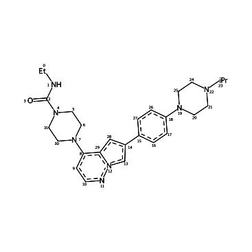 CCNC(=O)N1CCN(c2ccnn3cc(-c4ccc(N5CCN(C(C)C)CC5)cc4)cc23)CC1